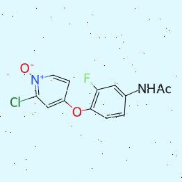 CC(=O)Nc1ccc(Oc2cc[n+]([O-])c(Cl)c2)c(F)c1